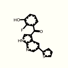 O=C(c1cccc(O)c1F)c1c[nH]c2ncc(-c3cccs3)cc12